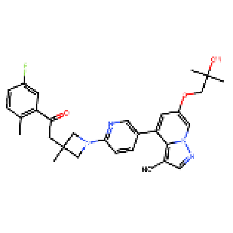 Cc1ccc(F)cc1C(=O)CC1(C)CN(c2ccc(-c3cc(OCC(C)(C)O)cn4ncc(C#N)c34)cn2)C1